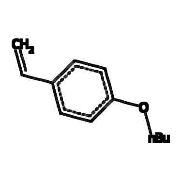 C=Cc1ccc(OCCCC)cc1